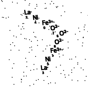 [Fe+3].[Fe+3].[La].[La].[Ni].[Ni].[O-2].[O-2].[O-2]